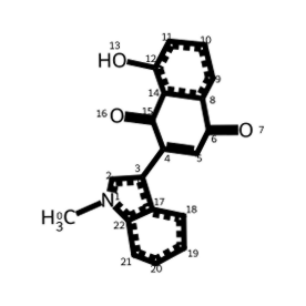 Cn1cc(C2=CC(=O)c3cccc(O)c3C2=O)c2ccccc21